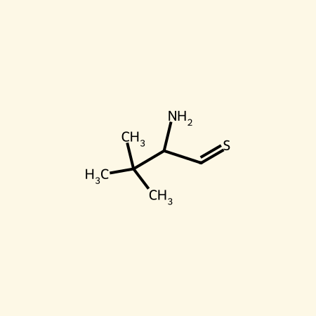 CC(C)(C)C(N)C=S